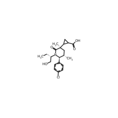 CC[C@@H](CO)N1C(=O)[C@@](C)(C2CC2C(=O)O)C[C@H](C)[C@H]1c1ccc(Cl)cc1